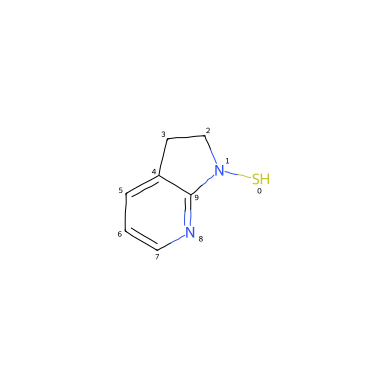 SN1CCc2cccnc21